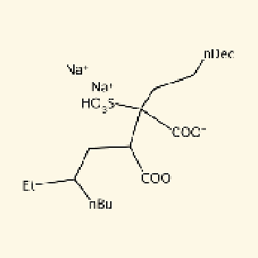 CCCCCCCCCCCCC(C(=O)[O-])(C(CC(CC)CCCC)C(=O)[O-])S(=O)(=O)O.[Na+].[Na+]